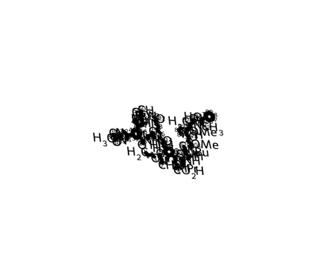 C=CCOC(=O)N(C)Cc1cc(NC(=O)[C@H](CCCNC(N)=O)NC(=O)[C@@H](NC(=O)c2cc(-c3cnc(S(C)(=O)=O)nc3)cc(-c3cnc(S(C)(=O)=O)nc3)c2)C(C)C)ccc1CCN(C(=O)O)C(C(=O)NC(C(=O)N(C)C([C@@H](C)CC)[C@@H](CC(=O)N1CCC[C@H]1[C@H](OC)[C@@H](C)C(=O)N[C@H](C)[C@@H](O)c1ccccc1)OC)C(C)C)C(C)C